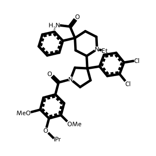 CCN1CCC(C(N)=O)(c2ccccc2)CC1C1(c2ccc(Cl)c(Cl)c2)CCN(C(=O)c2cc(OC)c(OC(C)C)c(OC)c2)C1